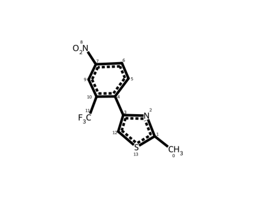 Cc1nc(-c2ccc([N+](=O)[O-])cc2C(F)(F)F)cs1